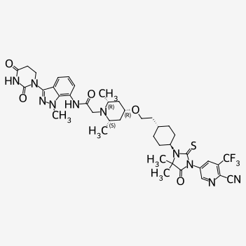 C[C@@H]1C[C@H](OCC[C@H]2CC[C@H](N3C(=S)N(c4cnc(C#N)c(C(F)(F)F)c4)C(=O)C3(C)C)CC2)C[C@H](C)N1CC(=O)Nc1cccc2c(N3CCC(=O)NC3=O)nn(C)c12